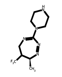 C[C@@H]1N=NC(N2CCNCC2)=NCC1C(F)(F)F